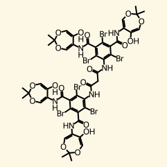 CC1(C)OC=C(O)C(NC(=O)c2c(Br)c(NC(=O)CC(=O)Nc3c(Br)c(C(=O)NC4=COC(C)(C)OC=C4O)c(Br)c(C(=O)NC4=COC(C)(C)OC=C4O)c3Br)c(Br)c(C(=O)NC3=COC(C)(C)OC=C3O)c2Br)=CO1